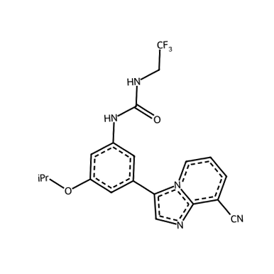 CC(C)Oc1cc(NC(=O)NCC(F)(F)F)cc(-c2cnc3c(C#N)cccn23)c1